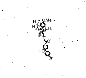 COc1cc(C)c(S(=O)(=O)N(CCOCC(=O)N2CCC(O)(c3ccc(Br)cc3)CC2)CC(C)C)c(C)c1C